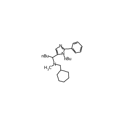 CCCCC(c1cnc(-c2ccccc2)n1CCCC)N(C)CC1CCCCC1